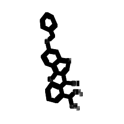 CC(C)c1ccccc1C(O)c1cnc2cc(OCc3ccccc3)ccc2c1Cl